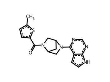 Cc1ccc(C(=O)N2CC3CC2CN3c2ncnc3[nH]ccc23)s1